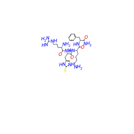 N=C(N)NCCCC(N)C(=O)NC(Cc1c[nH]c(=S)[nH]1)C(=O)NC(CCCCN)C(=O)NC(Cc1ccccc1)C(N)=O